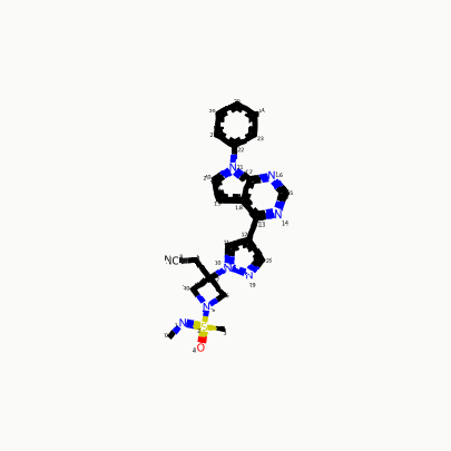 CN=S(C)(=O)N1CC(CC#N)(n2cc(-c3ncnc4c3ccn4-c3ccccc3)cn2)C1